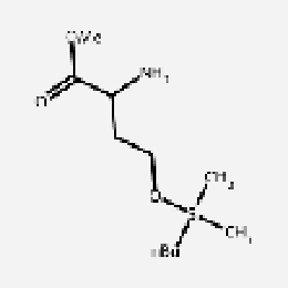 CCCC[Si](C)(C)OCCC(N)C(=O)OC